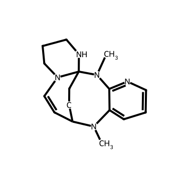 CN1c2cccnc2N(C)C23CCC1C=CN2CCCN3